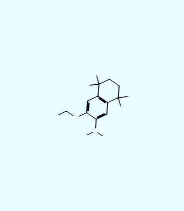 COCOc1cc2c(cc1B(O)O)C(C)(C)CCC2(C)C